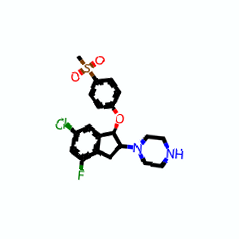 CS(=O)(=O)c1ccc(OC2c3cc(Cl)cc(F)c3CC2N2CCNCC2)cc1